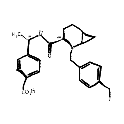 C[C@H](NC(=O)[C@H]1CCC2CC2N1Cc1ccc(CF)cc1)c1ccc(C(=O)O)cc1